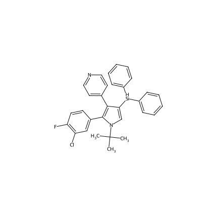 CC(C)(C)n1cc([SiH](c2ccccc2)c2ccccc2)c(-c2ccncc2)c1-c1ccc(F)c(Cl)c1